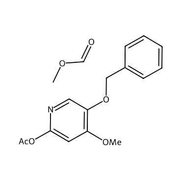 COC=O.COc1cc(OC(C)=O)ncc1OCc1ccccc1